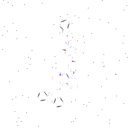 C=Nc1c(/C(=N\C)NC(=O)OC(c2ccccc2)c2ccccc2)ncn1CC(=O)N1CCN(S(=O)(=O)c2nc3ccccc3s2)C(=O)O1